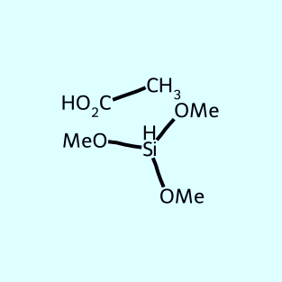 CC(=O)O.CO[SiH](OC)OC